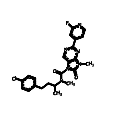 CC(CCc1ccc(Cl)cc1)N(C)C(=O)n1c(=O)n(C)c2nc(-c3ccnc(F)c3)ncc21